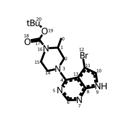 CC1CN(c2ncnc3[nH]cc(Br)c23)CCN1C(=O)OC(C)(C)C